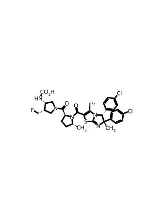 CC(C)C1=C(C(=O)N2[C@H](C)CC[C@H]2C(=O)N2C[C@H](CF)[C@H](NC(=O)O)C2)SC2=N[C@@](C)(c3ccc(Cl)cc3)[C@@H](c3ccc(Cl)cc3)N21